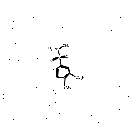 CSc1ccc(S(=O)(=O)N(C)C)cc1C(=O)O